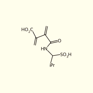 C=C(C(=C)C(=O)NC(C(C)C)S(=O)(=O)O)C(=O)O